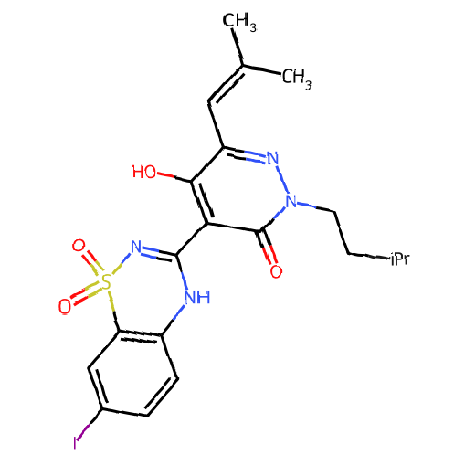 CC(C)=Cc1nn(CCC(C)C)c(=O)c(C2=NS(=O)(=O)c3cc(I)ccc3N2)c1O